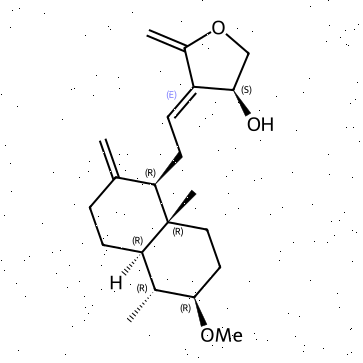 C=C1OC[C@@H](O)/C1=C\C[C@@H]1C(=C)CC[C@@H]2[C@@H](C)[C@H](OC)CC[C@@]12C